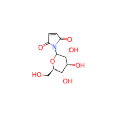 O=C1C=CC(=O)N1[C@@H]1O[C@H](CO)[C@@H](O)[C@H](O)[C@H]1O